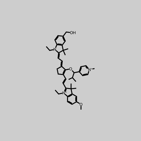 CCN1/C(=C/C=C2\CCC(/C=C/C3=[N+](CC)c4ccc(OC)cc4C3(C)C)=C2OC(c2cc[n+](C)cc2)C(C)C)C(C)(C)c2cc(CO)ccc21